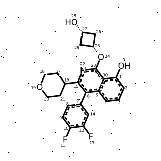 Oc1cccc2c(-c3ccc(F)c(F)c3)c(C3CCOCC3)nc(O[C@H]3C[C@@H](O)C3)c12